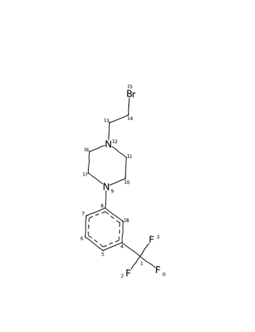 FC(F)(F)c1cccc(N2CCN(CCBr)CC2)c1